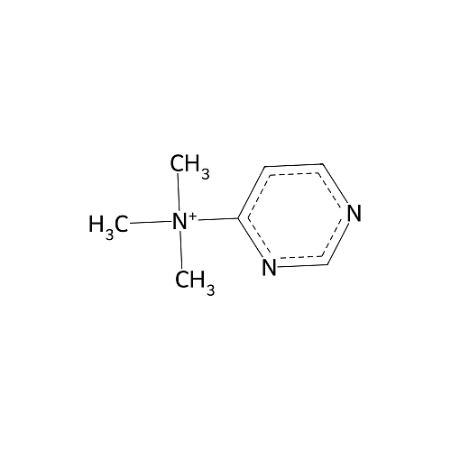 C[N+](C)(C)c1ccncn1